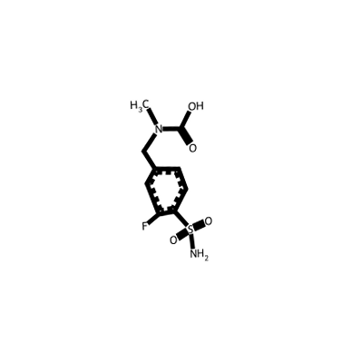 CN(Cc1ccc(S(N)(=O)=O)c(F)c1)C(=O)O